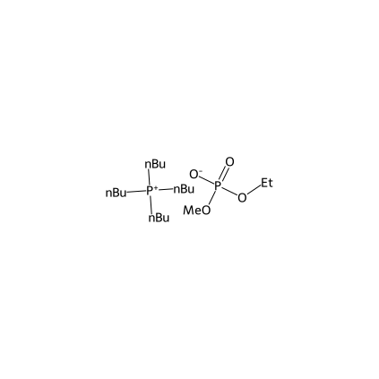 CCCC[P+](CCCC)(CCCC)CCCC.CCOP(=O)([O-])OC